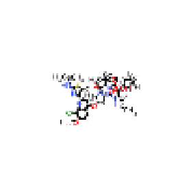 CC[C@@H]1C[C@]1(NC(=O)[C@@H]1C[C@@H](Oc2cc(-c3nc(NC(C)C)sc3C)nc3c(Cl)c(OC)ccc23)CN1C(=O)[C@@H](NC(=O)O[C@@H]1C[C@@H]2C[C@@H]2C1)C(C)(C)C)C(=O)O